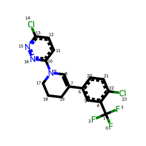 FC(F)(F)c1cc(C2=CN(c3ccc(Cl)nn3)CCC2)ccc1Cl